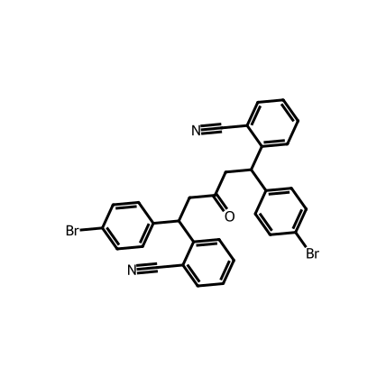 N#Cc1ccccc1C(CC(=O)CC(c1ccc(Br)cc1)c1ccccc1C#N)c1ccc(Br)cc1